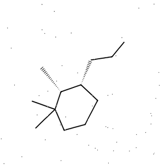 CCC[C@@H]1CCCC(C)(C)[C@@H]1C